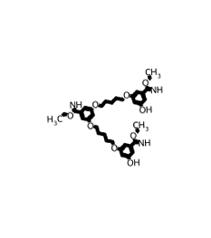 CCOC(=N)c1cc(O)cc(OCCCCCOc2cc(OCCCCCOc3cc(O)cc(C(=N)OCC)c3)cc(C(=N)OCC)c2)c1